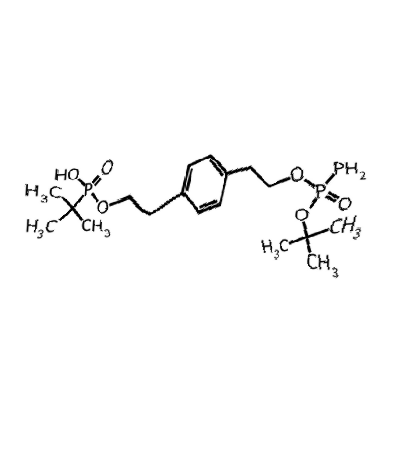 CC(C)(C)OP(=O)(P)OCCc1ccc(CCOP(=O)(O)C(C)(C)C)cc1